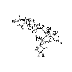 CCc1ccc(C(CC)(CC)NC(=O)c2cnn3c2N[C@@H](C2C=CC=CC2)CC3(C)C)cc1